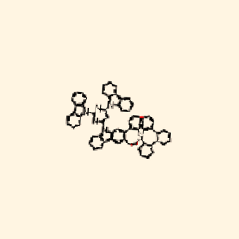 c1ccc2c(c1)-c1ccccc1[Si]1(c3ccccc3-2)c2ccccc2-c2cc3c4ccccc4n(-c4cc(-n5c6ccccc6c6ccccc65)nc(-n5c6ccccc6c6ccccc65)n4)c3cc2-c2ccccc21